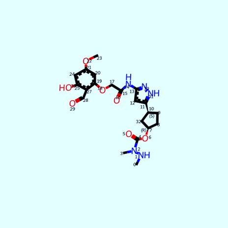 CNN(C)C(=O)O[C@@H]1CC[C@H](c2cc(NC(=O)COc3cc(OC)cc(O)c3C=O)n[nH]2)C1